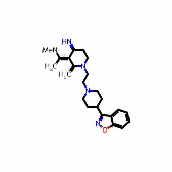 C=C1/C(=C(\C)NC)C(=N)CCN1CCN1CCC(c2noc3ccccc23)CC1